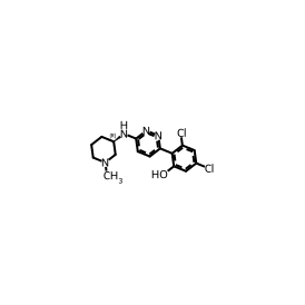 CN1CCC[C@@H](Nc2ccc(-c3c(O)cc(Cl)cc3Cl)nn2)C1